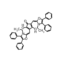 CCN1C(c2ccccc2)=C(c2ccccc2)O/C1=C/C1=C(O)C(/C=C2/OC(c3ccccc3)=C(c3ccccc3)N2CC)=C(O)C1=O